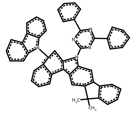 CC1(C)c2ccccc2-c2cc3c(cc21)c1c2ccccc2c(-n2c4ccccc4c4ccccc42)cc1n3-c1nc(-c2ccccc2)nc(-c2ccccc2)n1